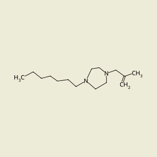 C=C(C)CN1CCN(CCCCCCC)CC1